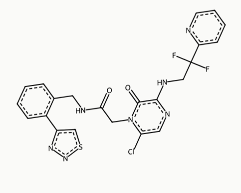 O=C(Cn1c(Cl)cnc(NCC(F)(F)c2ccccn2)c1=O)NCc1ccccc1-c1csnn1